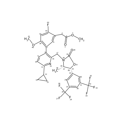 COC(=O)Cc1cc(-c2ccc(C3CC3)nc2CN2C(=O)O[C@H](c3cc(C(F)(F)F)cc(C(F)(F)F)c3)[C@@H]2C)c(OC)cc1F